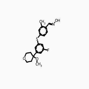 COC1(c2cc(F)cc(Sc3ccc(C=NO)c(C)c3)c2)CCOCC1